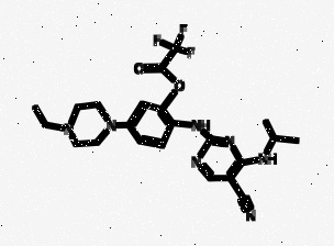 CCN1CCN(c2ccc(Nc3ncc(C#N)c(NC(C)C)n3)c(OC(=O)C(F)(F)F)c2)CC1